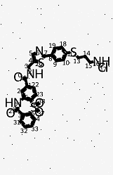 O=C(NCc1cnc(-c2ccc(SCCCNCl)cc2)s1)c1ccc2c(c1)NC(=O)c1ccccc1S2(=O)=O